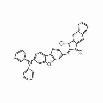 O=C1C(=Cc2ccc3c(c2)oc2cc(N(c4ccccc4)c4ccccc4)ccc23)C(=O)c2cc3ccccc3cc21